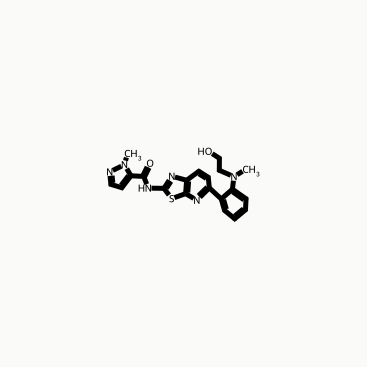 CN(CCO)c1ccccc1-c1ccc2nc(NC(=O)c3ccnn3C)sc2n1